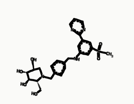 CS(=O)(=O)c1cc(NCc2ccc(CN3C[C@H](O)[C@@H](O)[C@H](O)[C@H]3CO)cc2)cc(-c2ncccn2)c1